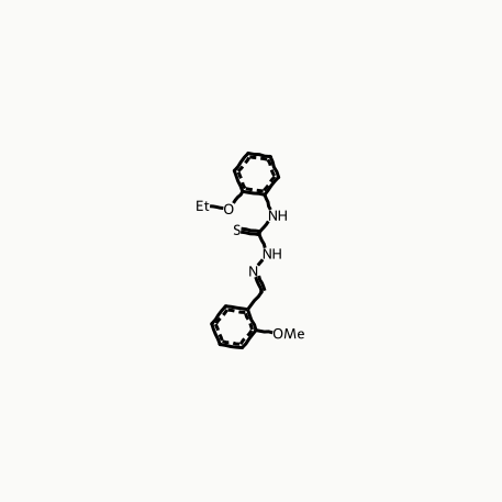 CCOc1ccccc1NC(=S)N/N=C/c1ccccc1OC